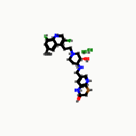 COc1cc(F)c2ncc(F)c(CCN3CC[C@H](NCc4cnc5c(c4)NC(=O)CS5)[C@@H](O)C3)c2c1.Cl.Cl